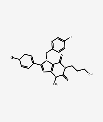 Cn1c(=O)n(CCCO)c(=O)c2c1nc(C1=CCC(Cl)C=C1)n2Cc1ccc(Cl)cn1